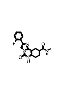 CN(C)C(=O)C1CCc2[nH]c(=O)n3cc(-c4ccccc4F)nc3c2C1